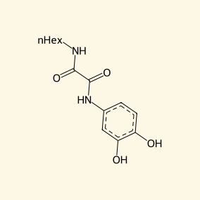 CCCCCCNC(=O)C(=O)Nc1ccc(O)c(O)c1